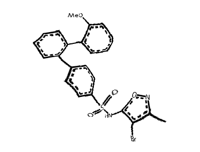 COc1ccccc1-c1ccccc1-c1ccc(S(=O)(=O)Nc2onc(C)c2Br)cc1